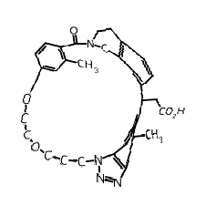 Cc1cc2ccc1C(=O)N1CCc3ccc(cc3C1)C(CC(=O)O)c1ccc3c(nnn3CCCOCCO2)c1C